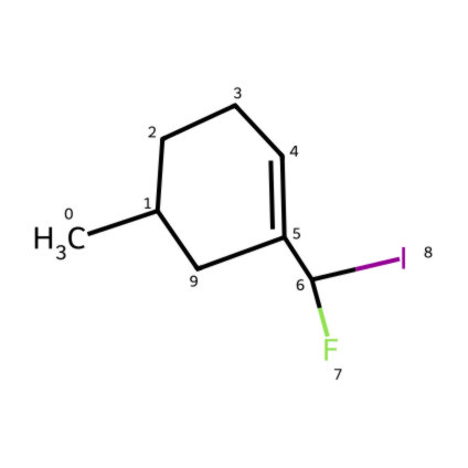 CC1CCC=C(C(F)I)C1